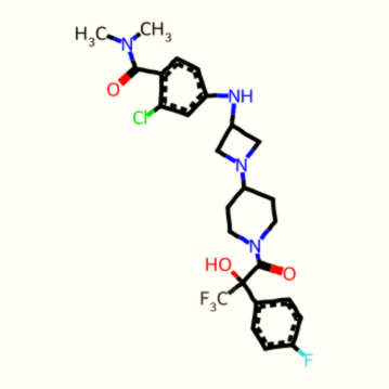 CN(C)C(=O)c1ccc(NC2CN(C3CCN(C(=O)C(O)(c4ccc(F)cc4)C(F)(F)F)CC3)C2)cc1Cl